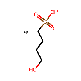 O=S(=O)(O)CCCCO.[H+]